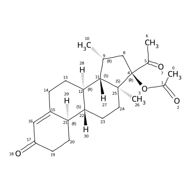 CC(=O)O[C@]1(C(C)=O)C[C@@H](C)[C@H]2[C@@H]3CCC4=CC(=O)CC[C@@H]4[C@H]3CC[C@@]21C